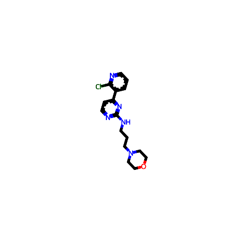 Clc1ncccc1-c1ccnc(NCCCN2CCOCC2)n1